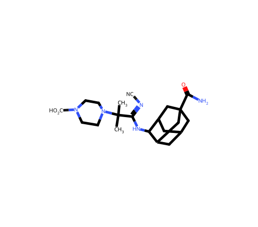 CC(C)(C(=NC#N)NC1C2CC3CC1CC(C(N)=O)(C3)C2)N1CCN(C(=O)O)CC1